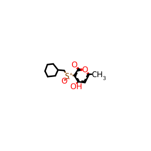 Cc1cc(O)c([S+]([O-])CC2CCCCC2)c(=O)o1